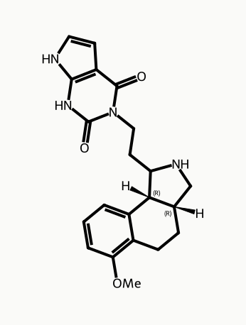 COc1cccc2c1CC[C@H]1CNC(CCn3c(=O)[nH]c4[nH]ccc4c3=O)[C@@H]21